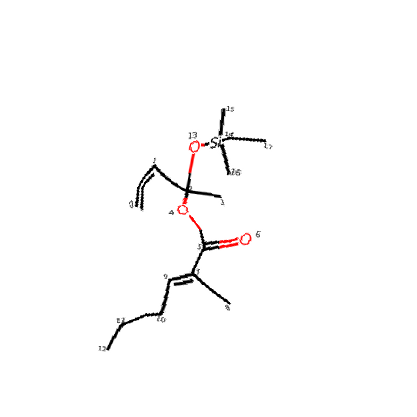 C=CC(C)(OC(=O)C(C)=CCCC)O[Si](C)(C)C